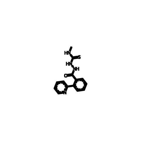 CNC(=S)NNC(=O)c1ccccc1-c1ccccn1